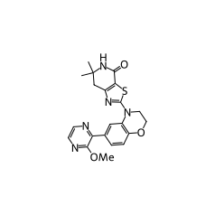 COc1nccnc1-c1ccc2c(c1)N(c1nc3c(s1)C(=O)NC(C)(C)C3)CCO2